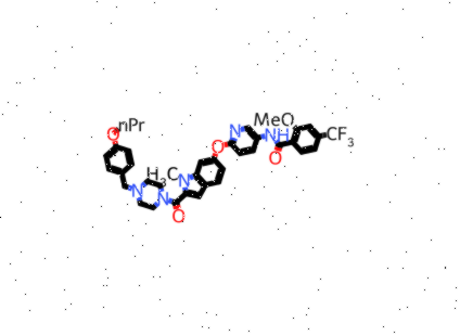 CCCOc1ccc(CN2CCN(C(=O)c3cc4ccc(Oc5ccc(NC(=O)c6ccc(C(F)(F)F)cc6OC)cn5)cc4n3C)CC2)cc1